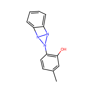 Cc1ccc(-n2n3c4ccccc4n23)c(O)c1